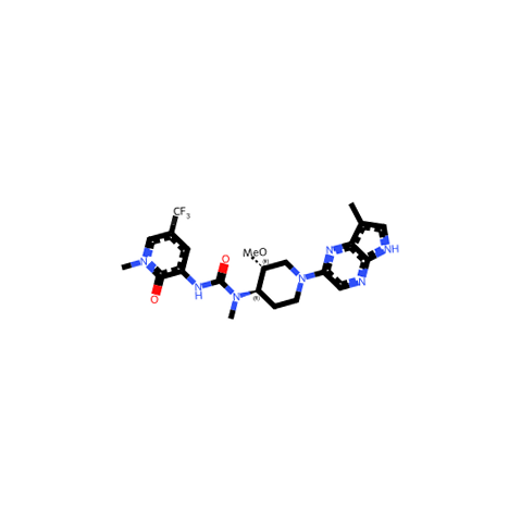 CO[C@@H]1CN(c2cnc3[nH]cc(C)c3n2)CC[C@H]1N(C)C(=O)Nc1cc(C(F)(F)F)cn(C)c1=O